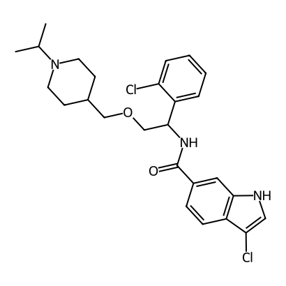 CC(C)N1CCC(COCC(NC(=O)c2ccc3c(Cl)c[nH]c3c2)c2ccccc2Cl)CC1